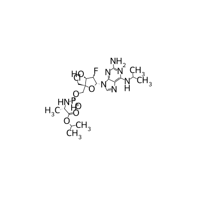 CC(C)Nc1nc(N)nc2c1ncn2[C@@H]1O[C@](CCl)(CO[PH](=O)N[C@@H](C)C(=O)OC(C)C)[C@@H](O)[C@H]1F